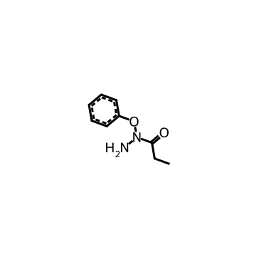 CCC(=O)N(N)Oc1ccccc1